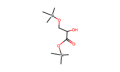 C[Si](C)(C)OCC(O)C(=O)O[Si](C)(C)C